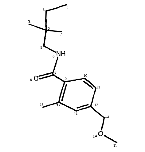 CCC(C)(C)CNC(=O)c1ccc(COC)cc1C